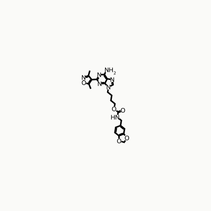 Cc1noc(C)c1-c1nc(N)c2ncn(CCCCOC(=O)NCc3ccc4c(c3)OCO4)c2n1